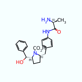 C[C@H](N)C(=O)Nc1ccc(C[C@@H]2CC[C@H](C(O)c3ccccc3)N2C(=O)O)cc1